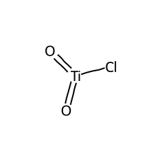 [O]=[Ti](=[O])[Cl]